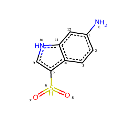 Nc1ccc2c([SH](=O)=O)c[nH]c2c1